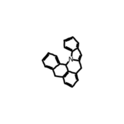 c1ccc2c(c1)Cc1cccc3c1C2n1c(cc2ccccc21)C3